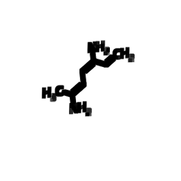 C=C/C(N)=C\C=C(/C)N